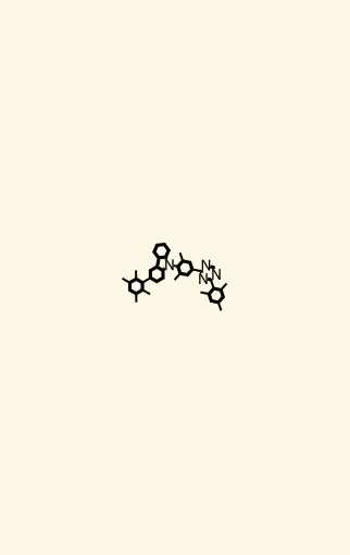 Cc1cc(C)c(-c2ncnc(-c3cc(C)c(-n4c5ccccc5c5cc(-c6c(C)c(C)cc(C)c6C)ccc54)c(C)c3)n2)c(C)c1